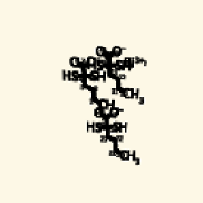 CCCCC(S)(S)C(=O)[O-].CCCCC(S)(S)C(=O)[O-].CCCCC(S)(S)C(=O)[O-].[Bi+3]